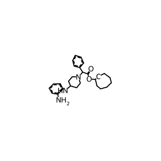 Nc1ccccc1NC1CCN(C(C(=O)OC2CCCCCCC2)c2ccccc2)CC1